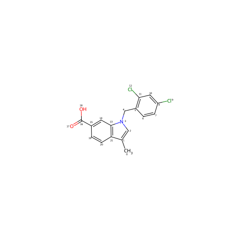 Cc1cn(Cc2ccc(Cl)cc2Cl)c2cc(C(=O)O)ccc12